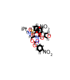 CC(C)CN(C[C@@H](OC(=O)Oc1ccc([N+](=O)[O-])cc1)[C@H](Cc1ccccc1)NC(=O)O[C@H]1CCOC1)S(=O)(=O)c1ccc([N+](=O)[O-])cc1